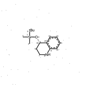 CC(C)(C)[Si](C)(C)O[C@H]1CCNc2ccccc21